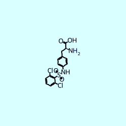 N[C@@H](Cc1ccc(NS(=O)(=O)c2c(Cl)cccc2Cl)cc1)C(=O)O